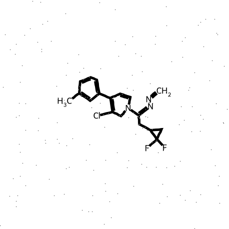 C=N/N=C(/CC1CC1(F)F)N1C=CC(c2cccc(C)c2)=C(Cl)C1